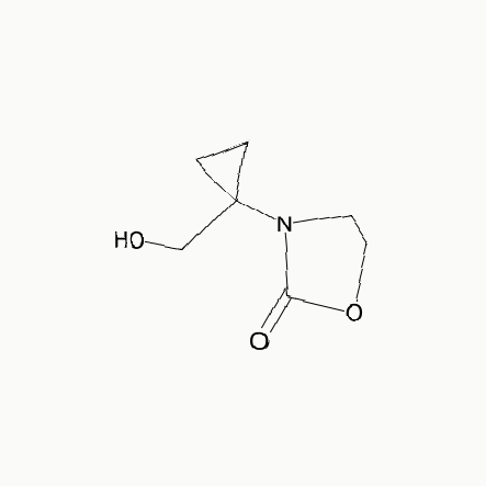 O=C1OCCN1C1(CO)CC1